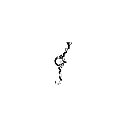 C[SiH]1O[Si](C)(CCCOCCC(F)(F)F)CCCCO[Si](C)(CCCOCC2CO2)O1